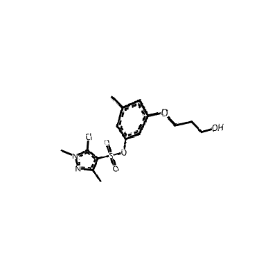 Cc1cc(OCCCO)cc(OS(=O)(=O)c2c(C)nn(C)c2Cl)c1